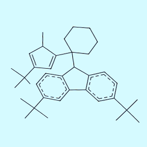 CC1C=C(C(C)(C)C)C=C1C1(C2c3ccc(C(C)(C)C)cc3-c3cc(C(C)(C)C)ccc32)CCCCC1